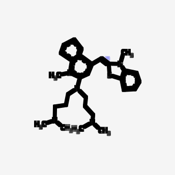 CN(C)CCCN(CCCN(C)C)c1cc(/C=C2\Sc3ccccc3N2C)c2ccccc2[n+]1C